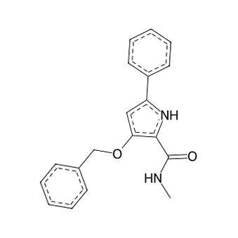 CNC(=O)c1[nH]c(-c2ccccc2)cc1OCc1ccccc1